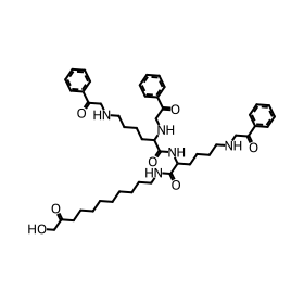 O=C(CO)CCCCCCCCCNC(=O)C(CCCCNCC(=O)c1ccccc1)NC(=O)C(CCCCNCC(=O)c1ccccc1)NCC(=O)c1ccccc1